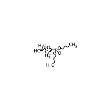 C#CC(C)(C)OC(=O)CP(=O)(OCCCC)OCCCC